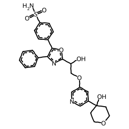 NS(=O)(=O)c1ccc(-c2oc(C(O)COc3cncc(C4(O)CCOCC4)c3)nc2-c2ccccc2)cc1